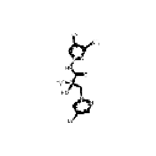 C[C@](O)(Cn1cc(C#N)cn1)C(=O)Nn1cc(C#N)c(C(F)(F)F)n1